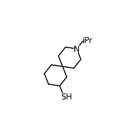 CC(C)N1CCC2(CCCC(S)C2)CC1